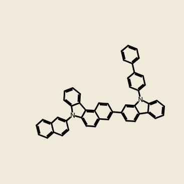 c1ccc(-c2ccc(-n3c4ccccc4c4ccc(-c5ccc6c(ccc7c6c6ccccc6n7-c6ccc7ccccc7c6)c5)cc43)cc2)cc1